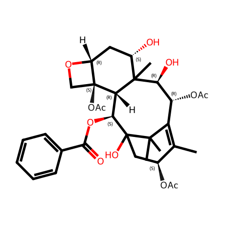 CC(=O)O[C@H]1CC2(O)[C@@H](OC(=O)c3ccccc3)[C@H]3C(C)([C@@H](O)C[C@H]4OC[C@]43OC(C)=O)[C@@H](O)[C@H](OC(C)=O)C(=C1C)C2(C)C